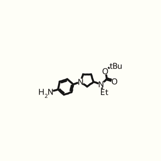 CCN(C(=O)OC(C)(C)C)C1CCN(c2ccc(N)cc2)C1